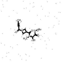 CC#CC(=O)N1CC(C(=O)N(C)C(C(=O)OCCCC)C(C)C)C1